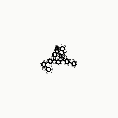 CC1(C)c2ccccc2C2(c3ccccc3-c3ccc(N(c4ccc(-c5cccc6oc7ccccc7c56)cc4)c4cccc(-c5coc6cc(-c7ccccc7)ccc56)c4)cc32)c2ccccc21